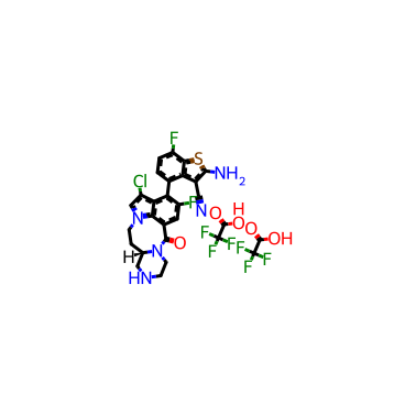 N#Cc1c(N)sc2c(F)ccc(-c3c(F)cc4c5c3c(Cl)cn5CC[C@H]3CNCCN3C4=O)c12.O=C(O)C(F)(F)F.O=C(O)C(F)(F)F